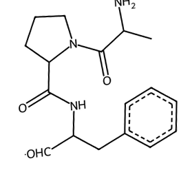 CC(N)C(=O)N1CCCC1C(=O)NC([C]=O)Cc1ccccc1